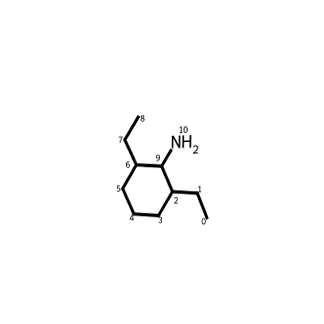 CCC1CCCC(CC)C1N